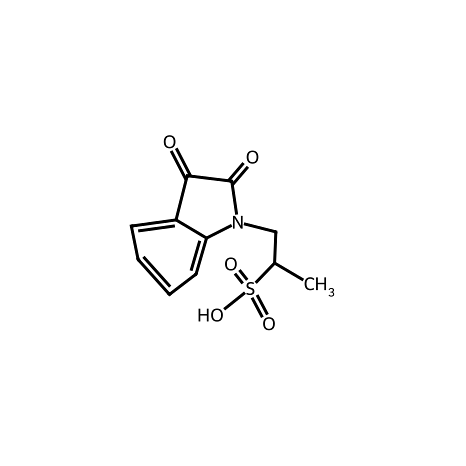 CC(CN1C(=O)C(=O)c2ccccc21)S(=O)(=O)O